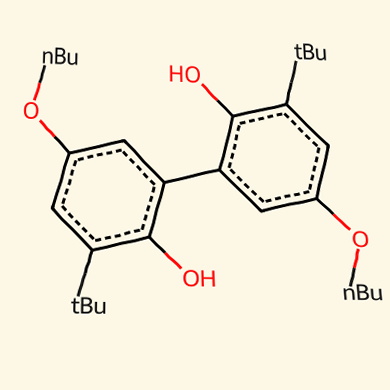 CCCCOc1cc(-c2cc(OCCCC)cc(C(C)(C)C)c2O)c(O)c(C(C)(C)C)c1